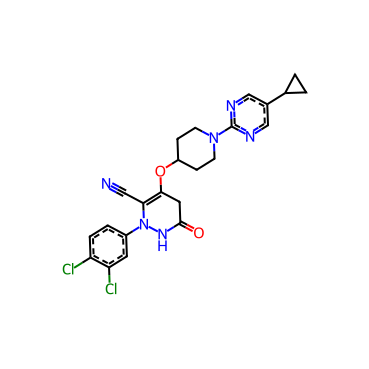 N#CC1=C(OC2CCN(c3ncc(C4CC4)cn3)CC2)CC(=O)NN1c1ccc(Cl)c(Cl)c1